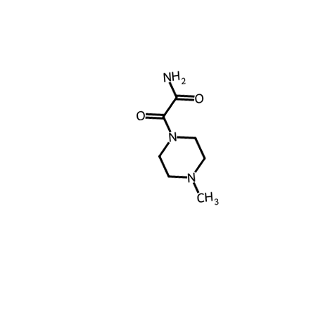 CN1CCN(C(=O)C(N)=O)CC1